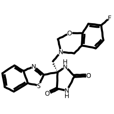 O=C1NC(=O)[C@@](CN2COc3cc(F)ccc3C2)(c2nc3ccccc3s2)N1